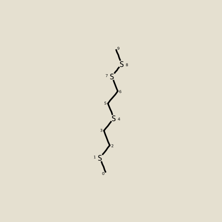 CSCCSCCSSC